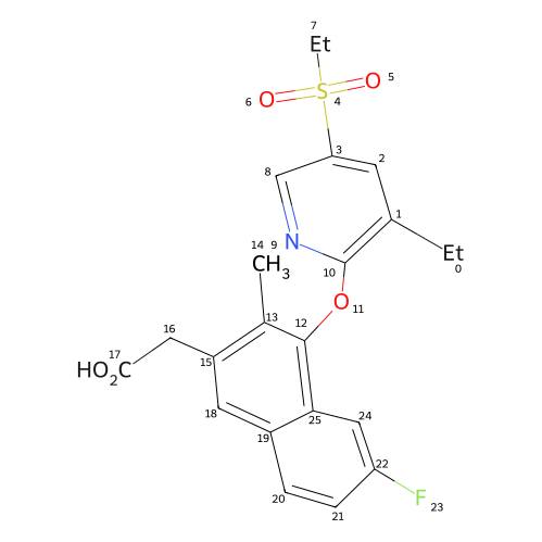 CCc1cc(S(=O)(=O)CC)cnc1Oc1c(C)c(CC(=O)O)cc2ccc(F)cc12